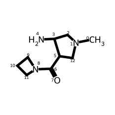 CN1CC(N)C(C(=O)N2CCC2)C1